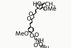 C=C(/C=C/C(=O)CC(=O)/C=C/c1ccc(OC(=O)CNC(=O)OC(C)(C)C)c(OC)c1)/C=C(OC)\C(O)=C/C